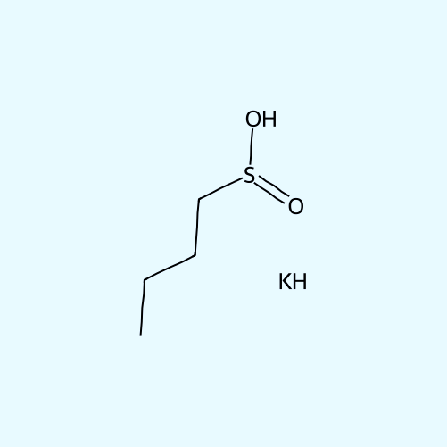 CCCCS(=O)O.[KH]